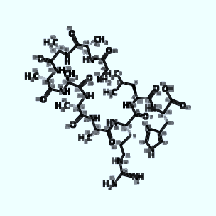 CC(C)C[C@H](NC(=O)[C@H](CCCNC(=N)N)NC(=O)[C@H](C)NC(=O)[C@H](C)NC(=O)[C@H](C)NC(=O)[C@H](C)NC(=O)[C@H](C)NC(=O)[C@H](C)NC(=O)CN)C(=O)N[C@@H](Cc1c[nH]cn1)C(=O)O